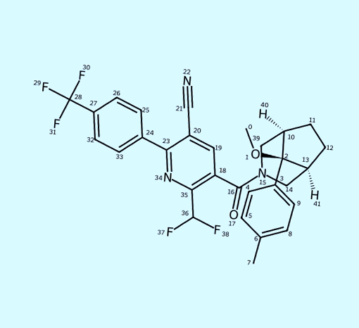 CO[C@@]1(c2ccc(C)cc2)[C@@H]2CC[C@H]1CN(C(=O)c1cc(C#N)c(-c3ccc(C(F)(F)F)cc3)nc1C(F)F)C2